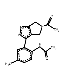 CC(=O)Nc1ccc(C)cc1-c1[nH]nc2c1CN(C(C)=O)C2